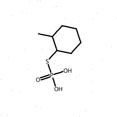 CC1CCCCC1SP(=O)(O)O